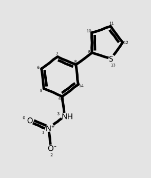 O=[N+]([O-])Nc1cccc(-c2cccs2)c1